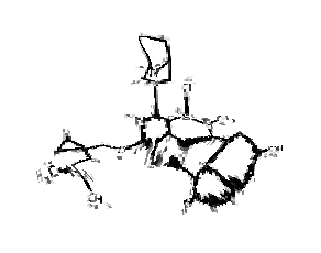 C#Cc1c(F)ccc2cc(O)cc(C3=Cc4nc(OCC5(CN(C)C)CC5)nc(N5CC6CCC(C5)N6)c4[S+]([O-])N3C)c12